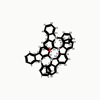 c1ccc(-n2c3ccccc3c3cccc(-n4c5ccccc5c5ccc6c7ccccc7n(-c7cccc8c9ccccc9n(-c9ccccc9)c78)c6c54)c32)cc1